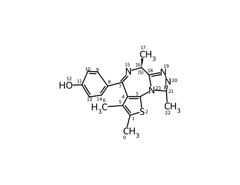 Cc1sc2c(c1C)C(c1ccc(O)cc1)=N[C@@H](C)c1nnc(C)n1-2